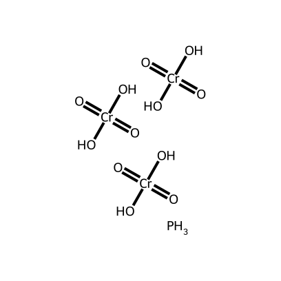 P.[O]=[Cr](=[O])([OH])[OH].[O]=[Cr](=[O])([OH])[OH].[O]=[Cr](=[O])([OH])[OH]